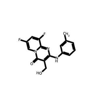 Cc1cccc(Nc2nc3c(F)cc(F)cn3c(=O)c2CO)c1